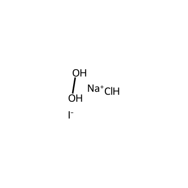 Cl.OO.[I-].[Na+]